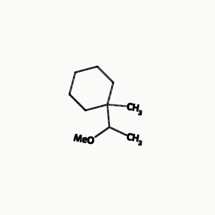 COC(C)C1(C)CCCCC1